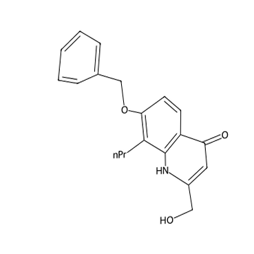 CCCc1c(OCc2ccccc2)ccc2c(=O)cc(CO)[nH]c12